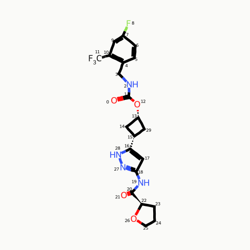 O=C(NCc1ccc(F)cc1C(F)(F)F)O[C@H]1C[C@@H](c2cc(NC(=O)[C@H]3CCCO3)n[nH]2)C1